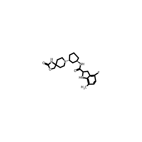 Cc1ccc(F)c2c1NC(C(=O)N[C@@H]1CCC[C@@H](N3CCC4(CC3)COC(=O)N4)C1)C2